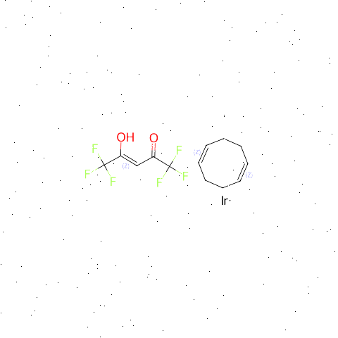 C1=C\CC/C=C\CC/1.O=C(/C=C(\O)C(F)(F)F)C(F)(F)F.[Ir]